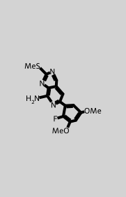 COc1cc(OC)c(F)c(-c2cc3cnc(SC)nc3c(N)n2)c1